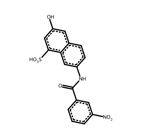 O=C(Nc1ccc2cc(O)cc(S(=O)(=O)O)c2c1)c1cccc([N+](=O)[O-])c1